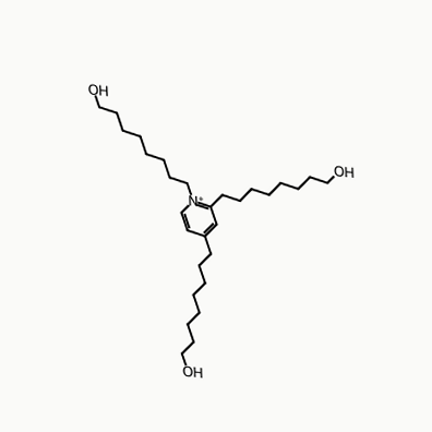 OCCCCCCCCc1cc[n+](CCCCCCCCO)c(CCCCCCCCO)c1